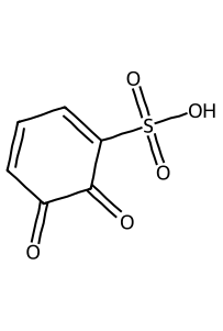 O=C1C=CC=C(S(=O)(=O)O)C1=O